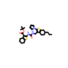 CCCC1CCc2c(sc(-n3cccc3)c2CNC(=O)Nc2sc3c(c2C(=O)OC(C)(C)C)CCCC3)C1